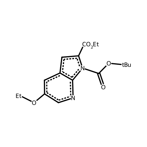 CCOC(=O)c1cc2cc(OCC)cnc2n1C(=O)OC(C)(C)C